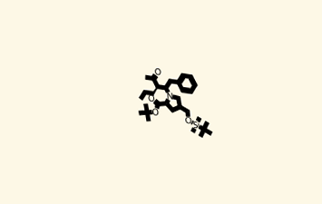 CCC[C@@H](C(C)=O)C(Cc1ccccc1)N1CC(CO[Si](C)(C)C(C)(C)C)CC1C(=O)OC(C)(C)C